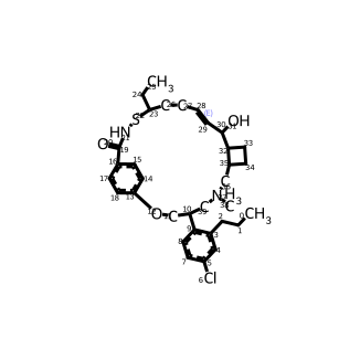 CCCc1cc(Cl)ccc1C1COc2ccc(cc2)C(=O)NSC(CC)CC/C=C/C(O)C2CCC2CN(C)C1